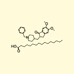 CCCCCCCCCCCCCCCC(=O)O.COc1cc2c(cc1OC)C(=O)C(CC1CCN(Cc3ccccc3)CC1)C2